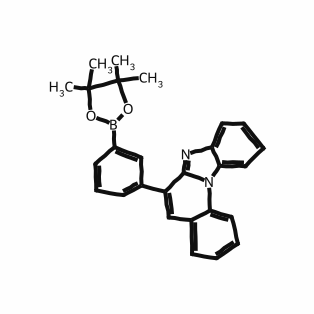 CC1(C)OB(c2cccc(-c3cc4ccccc4n4c3nc3ccccc34)c2)OC1(C)C